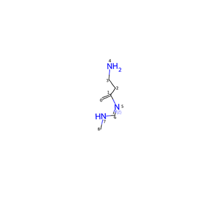 C=C(CCN)/N=C\NC